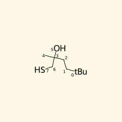 CC(C)(C)CCC(C)(O)CS